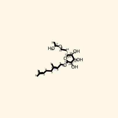 CC(C)=CCC/C(C)=C/COC1O[C@H](CCOC(C)O)[C@@H](O)[C@H](O)[C@H]1O